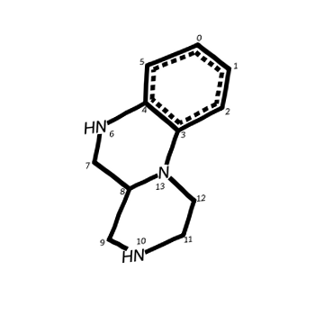 c1ccc2c(c1)NCC1CNCCN21